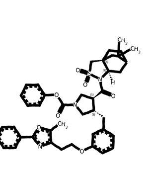 Cc1oc(-c2ccccc2)nc1CCOc1cccc(C[C@@H]2CN(C(=O)Oc3ccccc3)C[C@H]2C(=O)N2[C@@H]3CC4CC[C@@]3(CC4(C)C)CS2(=O)=O)c1